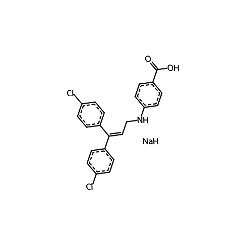 O=C(O)c1ccc(NCC=C(c2ccc(Cl)cc2)c2ccc(Cl)cc2)cc1.[NaH]